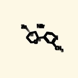 Br.Cc1cc([C@@H]2C[C@@H]([Zn])CCO2)ccn1